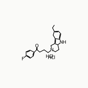 CCC1=CC=C2NC3CCN(CCCC(=O)c4ccc(F)cc4)CC3=C2C1.Cl.Cl